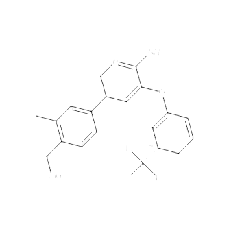 Cc1cc(C2C=C(OC3=C[C@@H](C(F)(F)F)CC=C3)C(N)=NC2)ccc1CO